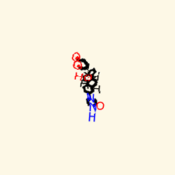 C[C@]12CC[C@H](N3CCNC(=O)C3)C[C@H]1CC[C@@H]1[C@@H]2CC[C@]2(C)[C@@H](c3ccc(=O)oc3)CC[C@]12O